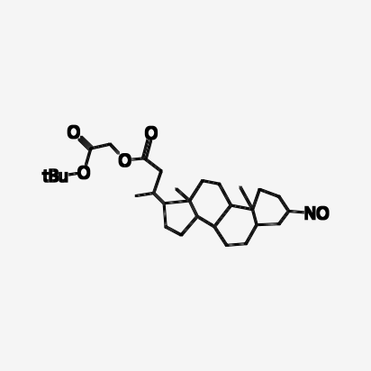 CC(CC(=O)OCC(=O)OC(C)(C)C)C1CCC2C3CCC4CC(N=O)CCC4(C)C3CCC12C